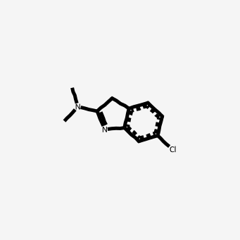 CN(C)C1=Nc2cc(Cl)ccc2C1